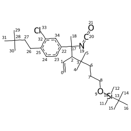 C=CC(C(C)(C)CCCO[Si](C)(C)C(C)(C)C)C(C)(N=C=O)c1ccc(CCC(C)(C)C)c(Cl)c1